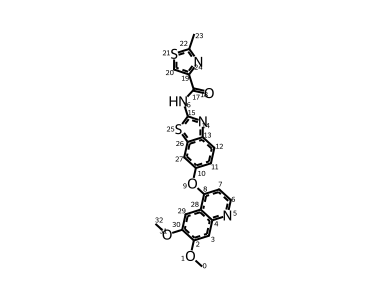 COc1cc2nccc(Oc3ccc4nc(NC(=O)c5csc(C)n5)sc4c3)c2cc1OC